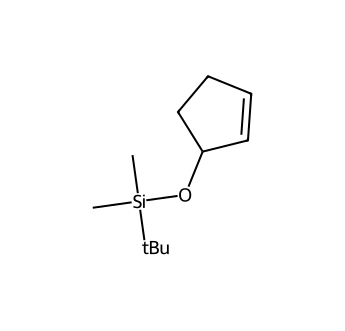 CC(C)(C)[Si](C)(C)OC1C=CCC1